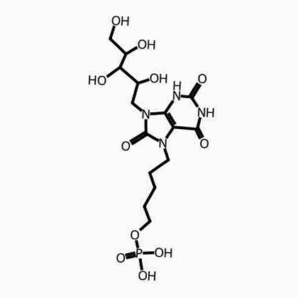 O=c1[nH]c(=O)c2c([nH]1)n(CC(O)C(O)C(O)CO)c(=O)n2CCCCCOP(=O)(O)O